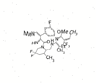 C\C=C(/C(=N\C(NCC1C(C)CC(F)(F)CN1C(=O)C(=N)/C(=C\NC)c1cccc(F)c1)=C(\C)CC)OC)C(F)(F)F